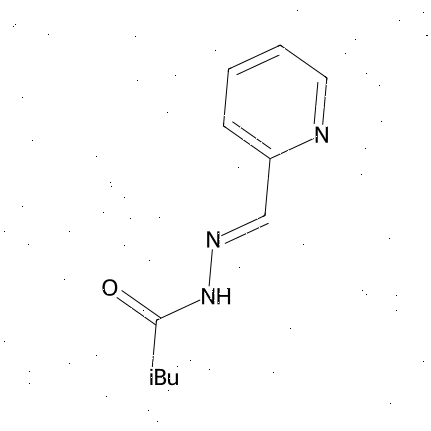 CCC(C)C(=O)N/N=C/c1ccccn1